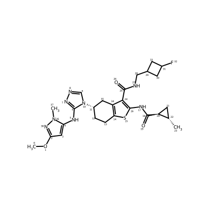 COc1cc(Nc2nncn2[C@H]2CCc3sc(NC(=O)[C@H]4C[C@@H]4C)c(C(=O)NCC4CC(F)C4)c3C2)n(C)n1